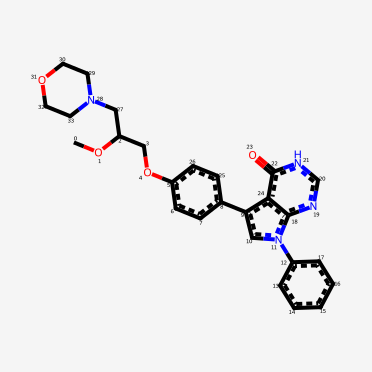 COC(COc1ccc(-c2cn(-c3ccccc3)c3nc[nH]c(=O)c23)cc1)CN1CCOCC1